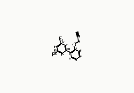 C#CCOc1[c]cccc1-c1cc(F)cc(F)c1